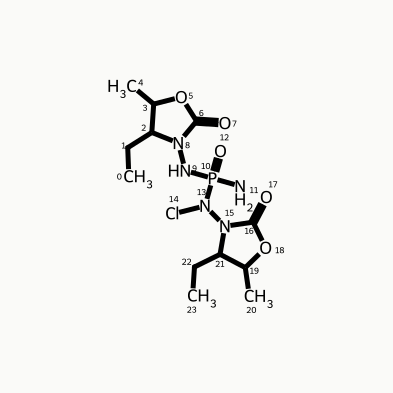 CCC1C(C)OC(=O)N1NP(N)(=O)N(Cl)N1C(=O)OC(C)C1CC